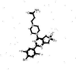 NC(=O)CCN1CCN(c2nc(-c3cc(F)c(Br)cc3F)nc3c2CS(=O)(=O)C3)CC1